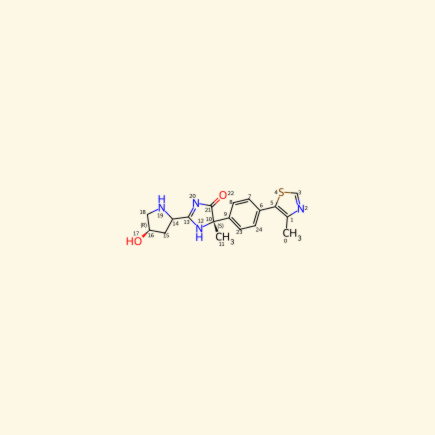 Cc1ncsc1-c1ccc([C@]2(C)NC(C3C[C@@H](O)CN3)=NC2=O)cc1